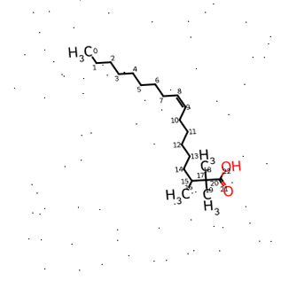 CCCCCCCC/C=C\CCCCCC(C)C(C)(C)C(=O)O